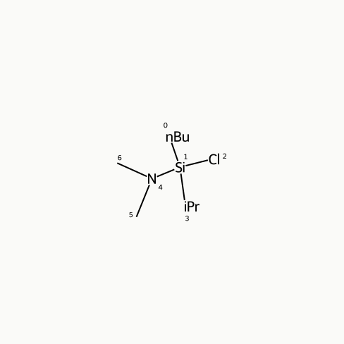 CCCC[Si](Cl)(C(C)C)N(C)C